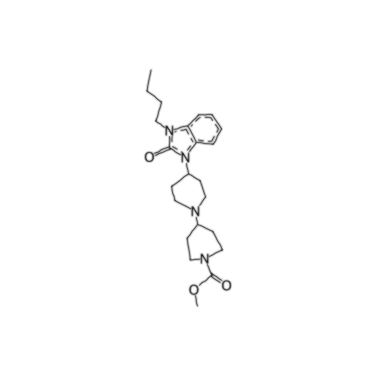 CCCCn1c(=O)n(C2CCN(C3CCN(C(=O)OC)CC3)CC2)c2ccccc21